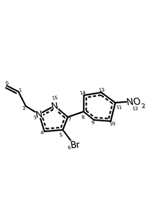 C=CCn1cc(Br)c(-c2ccc([N+](=O)[O-])cc2)n1